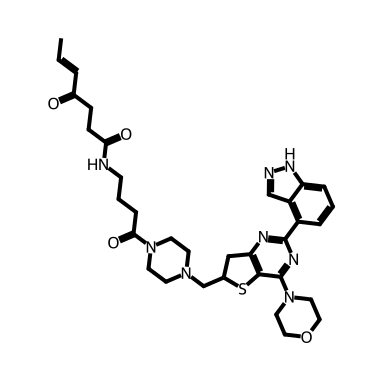 C/C=C/C(=O)CCC(=O)NCCCC(=O)N1CCN(CC2Cc3nc(-c4cccc5[nH]ncc45)nc(N4CCOCC4)c3S2)CC1